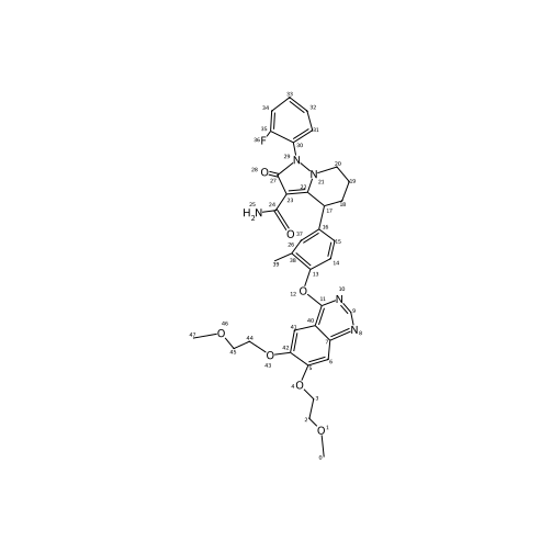 COCCOc1cc2ncnc(Oc3ccc(C4CCCn5c4c(C(N)=O)c(=O)n5-c4ccccc4F)cc3C)c2cc1OCCOC